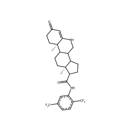 C[C@]12CCC3C(CNC4=CC(=O)CC[C@@]43C)C1CCC2C(=O)Nc1cc(C(F)(F)F)ccc1C(F)(F)F